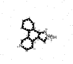 Cl.c1ccc2c(c1)c1cnccc1c1c[nH]nc21